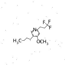 CCC[CH]c1cnc(CCC(F)(F)F)cc1OC